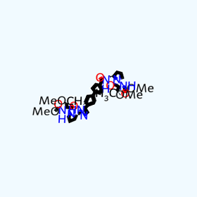 COC(=O)N[C@H](C(=O)N1CCC[C@H]1CNC(=O)c1ccc(-c2ccc(-c3cnc([C@@H]4CCCN4C(=O)[C@@H](NC(=O)OC)[C@@H](C)OC)[nH]3)cc2)cc1)[C@@H](C)OC